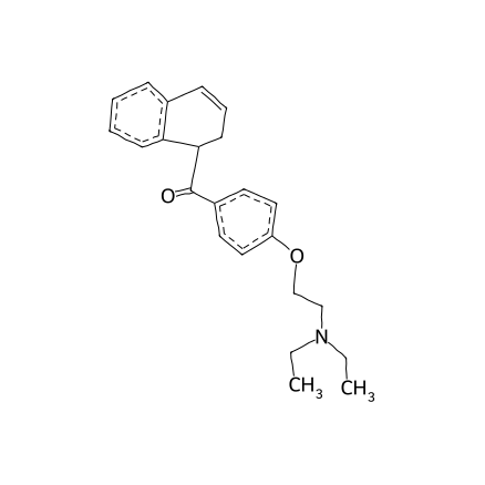 CCN(CC)CCOc1ccc(C(=O)C2CC=Cc3ccccc32)cc1